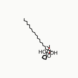 CCCCCCCCCCCCCCCCCCC(C(C)(C)C)(C(C)(C)C)C(O)(C(=O)O)c1ccccc1